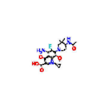 COc1c(N2CCC(NC(C)=O)C(C)(C)C2)c(F)c(N)c2c(=O)c(C(=O)O)cn(C3CC3)c12